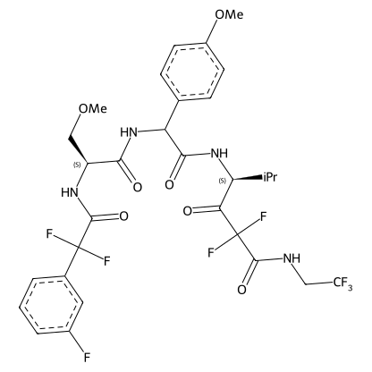 COC[C@H](NC(=O)C(F)(F)c1cccc(F)c1)C(=O)NC(C(=O)N[C@H](C(=O)C(F)(F)C(=O)NCC(F)(F)F)C(C)C)c1ccc(OC)cc1